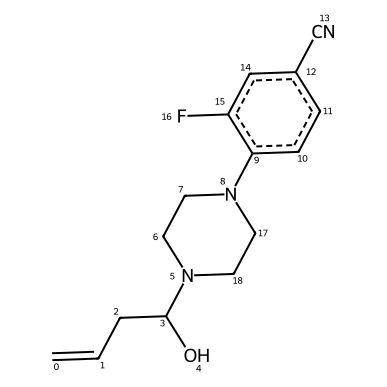 C=CCC(O)N1CCN(c2ccc(C#N)cc2F)CC1